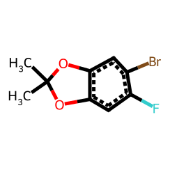 CC1(C)Oc2cc(F)c(Br)cc2O1